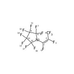 F/C(=C(\F)C(F)(F)F)N1C(F)(F)C(F)(F)C(F)(F)C1(F)F